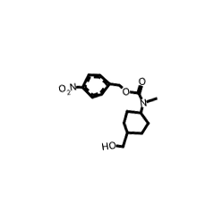 CN(C(=O)OCc1ccc([N+](=O)[O-])cc1)C1CCC(CO)CC1